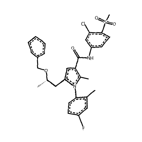 Cc1cc(F)ccc1-n1c(C[C@H](C)OCc2ccccc2)cc(C(=O)Nc2ccc(S(C)(=O)=O)c(Cl)c2)c1C